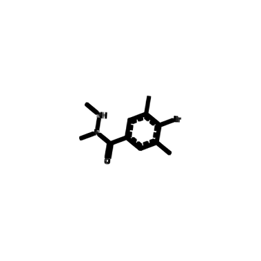 CNN(C)C(=O)c1cc(C)c(Br)c(C)c1